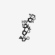 CN1CCOc2ncc(Nc3ncc4c(n3)C(C)(C)Oc3cc(N5C(=O)CCC56CC6)ccc3-4)cc21